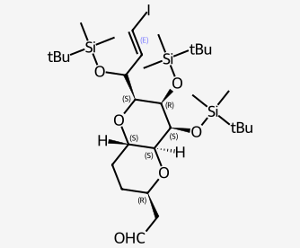 CC(C)(C)[Si](C)(C)OC(/C=C/I)[C@@H]1O[C@H]2CC[C@H](CC=O)O[C@@H]2[C@H](O[Si](C)(C)C(C)(C)C)[C@@H]1O[Si](C)(C)C(C)(C)C